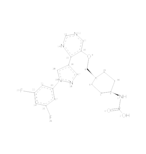 O=C(O)N[C@H]1CC[C@@H](COc2cncnc2-c2cnn(-c3cc(F)cc(F)c3)c2)CC1